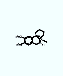 COc1cc2c(cc1SC)C[C@H]1C3CCCC[C@@]23CCN1C